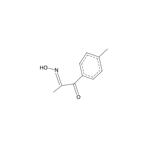 CC(=NO)C(=O)c1ccc(C)cc1